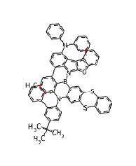 Cc1cc2c3c(c1)N(c1ccc(C(C)(C)C)cc1-c1ccccc1)c1cc4c(cc1B3n1c3oc5ccccc5c3c3c(N(c5ccccc5)c5ccccc5)ccc-2c31)Sc1ccccc1S4